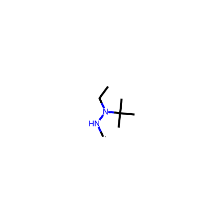 [CH2]NN(CC)C(C)(C)C